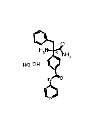 Cl.Cl.NC(=O)[C@@](N)(Cc1ccccc1)c1ccc(C(=O)Nc2ccncc2)cc1